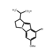 COc1cc(C(C)C)c2cc3n(c2c1)CCC3C(C)C(=O)O